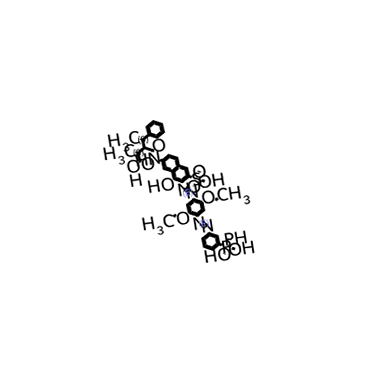 CCOc1cc(/N=N/c2c(S(=O)(=O)O)cc3ccc(NC(=O)C([C@H](C)C(=O)O)[C@H](C)c4ccccc4)cc3c2O)c(OCC)cc1/N=N/c1cccc(P(O)(O)=P)c1